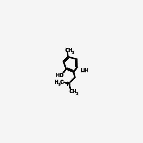 Cc1ccc(CN(C)C)c(O)c1.[LiH]